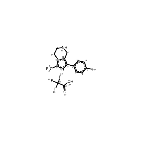 Fc1ccc(-c2nc(C(F)(F)F)n3c2CNCC3)cc1.O=C(O)C(F)(F)F